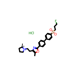 Cc1oc(-c2ccc(-c3ccc(S(=O)(=O)CCCF)cc3)cc2)nc1CCN1CCC[C@H]1C.Cl